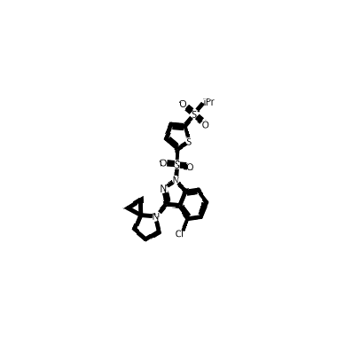 CC(C)S(=O)(=O)c1ccc(S(=O)(=O)n2nc(N3CCCC34CC4)c3c(Cl)cccc32)s1